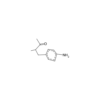 CC(=O)C(C)Cc1ccc(N)cc1